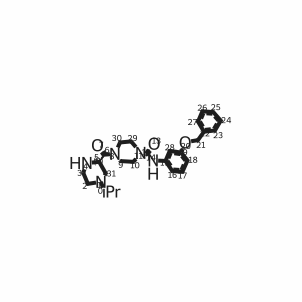 CC(C)N1CCN[C@@H](C(=O)N2CCN(C(=O)Nc3cccc(OCc4ccccc4)c3)CC2)C1